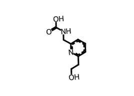 O=C(O)NCc1cccc(CCO)n1